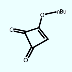 CCCCOc1cc(=O)c1=O